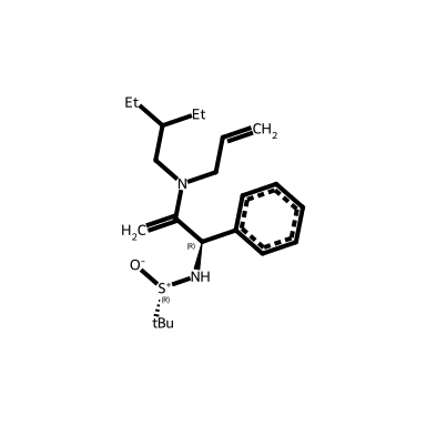 C=CCN(CC(CC)CC)C(=C)[C@H](N[S@@+]([O-])C(C)(C)C)c1ccccc1